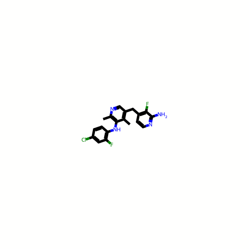 Cc1ncc(Cc2ccnc(N)c2F)c(C)c1Nc1ccc(Cl)cc1F